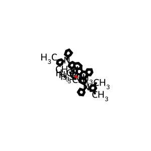 Cc1cc(C)cc(N(c2ccccc2)c2ccc3c4c(ccc3c2)-c2c(c3ccc(N(c5ccccc5)c5cc(C)cc(C)c5)cc3c3ccccc23)C4([Si](C)(C)C)[Si](C)(C)C)c1